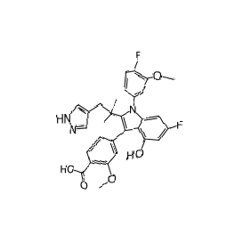 COc1cc(-n2c(C(C)(C)Cc3cn[nH]c3)c(-c3ccc(C(=O)O)c(OC)c3)c3c(O)cc(F)cc32)ccc1F